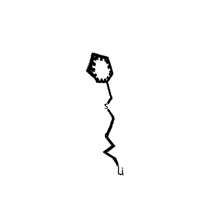 [Li][CH2]CCCSCc1ccccc1